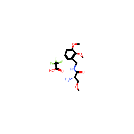 COC[C@H](N)C(=O)NCc1cccc(OC)c1OC.O=C(O)C(F)(F)F